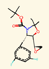 CC(C)(C)OC(=O)N1[C@@H](Cc2cc(F)cc(F)c2)[C@H]([C@H]2CO2)OC1(C)C